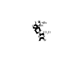 CCOC(=O)c1nc(Br)c(C)nc1N1CCC2(CC1)CO[C@@H](C)[C@H]2N[S@+]([O-])C(C)(C)C